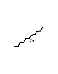 [CH2]CCCCCCCCCC.[Zn]